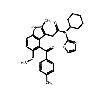 COc1ccc2[nH]c(C)c(CC(=O)N(c3nccs3)C3CCCCC3)c2c1C(=O)c1ccc(C)cc1